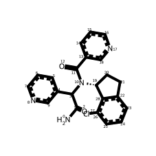 NC(=O)C(c1cccnc1)N(C(=O)c1cccnc1)[C@@H]1CCc2cccc(Cl)c21